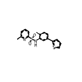 Cc1cccc(S(=O)(=O)Nc2cc(-c3cccs3)ccc2C)n1